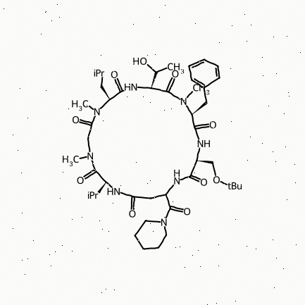 CC(C)C[C@H]1C(=O)N[C@@H](C(C)O)C(=O)N(C)[C@@H](Cc2ccccc2)C(=O)N[C@@H](COC(C)(C)C)C(=O)NC(C(=O)N2CCCCC2)CC(=O)N[C@@H](C(C)C)C(=O)N(C)CC(=O)N1C